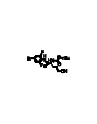 CCCCOC(=O)N[C@H](CCCO)C(=O)Nc1c(F)cc(Br)cc1F